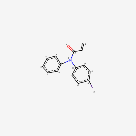 C=CC(=O)N(c1ccccc1)c1ccc(I)cc1